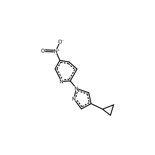 O=[N+]([O-])c1ccc(-n2cc(C3CC3)cn2)nc1